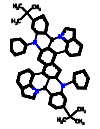 CC(C)(C)c1ccc2c(c1)N(c1ccccc1)c1cc3c4c5c(cc3c3c1B2n1ccc2cccc-3c21)N(c1ccccc1)c1cc(C(C)(C)C)ccc1B5n1ccc2cccc-4c21